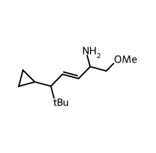 COCC(N)C=CC(C1CC1)C(C)(C)C